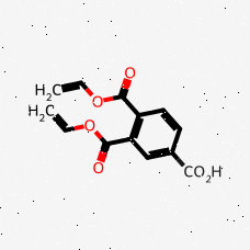 C=COC(=O)c1ccc(C(=O)O)cc1C(=O)OC=C